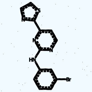 Brc1cccc(Nc2nccc(-c3nccs3)n2)c1